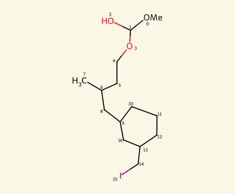 COC(O)OCCC(C)CC1CCCC(CI)C1